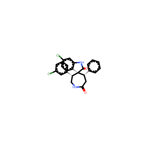 O=C1C[C@@H](c2ccccc2)[C@]2(C(=O)Nc3cc(Cl)ccc32)[C@@H](c2cccc(Cl)c2)CN1